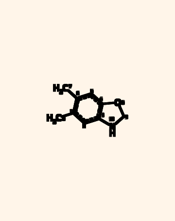 Cc1cc2c(cc1C)OCN2